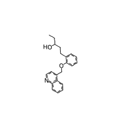 CCC(O)CCc1ccccc1OCc1ccnc2ccccc12